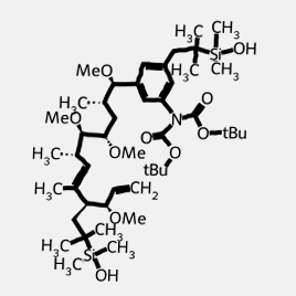 C=C[C@H](OC)[C@@H](CC(C)(C)[Si](C)(C)O)/C(C)=C/[C@H](C)[C@@H](OC)[C@H](C[C@H](C)[C@@H](OC)c1cc(CC(C)(C)[Si](C)(C)O)cc(N(C(=O)OC(C)(C)C)C(=O)OC(C)(C)C)c1)OC